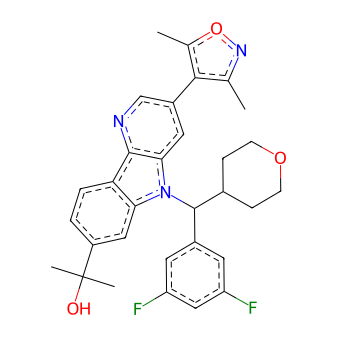 Cc1noc(C)c1-c1cnc2c3ccc(C(C)(C)O)cc3n(C(c3cc(F)cc(F)c3)C3CCOCC3)c2c1